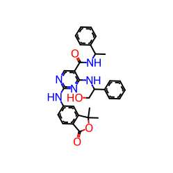 CC(NC(=O)c1cnc(Nc2ccc3c(c2)C(C)(C)OC3=O)nc1NC(CO)c1ccccc1)c1ccccc1